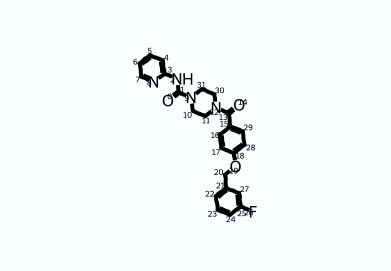 O=C(Nc1ccccn1)N1CCN(C(=O)c2ccc(OCc3cccc(F)c3)cc2)CC1